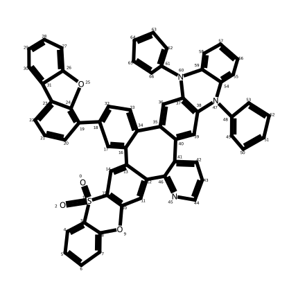 O=S1(=O)c2ccccc2Oc2cc3c(cc21)c1cc(-c2cccc4c2oc2ccccc24)ccc1c1cc2c(cc1c1cccnc13)n(-c1ccccc1)c1ccccc1n2-c1ccccc1